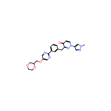 Cn1cc(-n2ccc(=O)c(Cc3cccc(-c4ncc(OCC5COCCO5)cn4)c3)n2)cn1